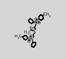 Cc1ccc(S(=O)(=O)N(CCCN(CCCN(c2ccccc2)S(=O)(=O)c2ccc(C)cc2)C(C)S)c2ccccc2)cc1